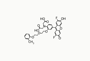 Cc1ccccc1OCCOCCOc1cc(-c2c3cc(F)c(=O)cc-3oc3cc(O)c(F)cc23)ccc1N(CC(=O)O)CC(=O)O